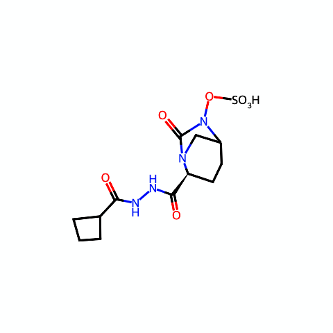 O=C(NNC(=O)[C@@H]1CCC2CN1C(=O)N2OS(=O)(=O)O)C1CCC1